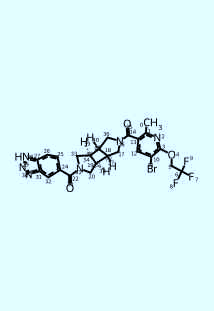 Cc1nc(OCC(F)(F)F)c(Br)cc1C(=O)N1C[C@@H]2[C@H]3CN(C(=O)c4ccc5[nH]nnc5c4)C[C@H]3[C@@H]2C1